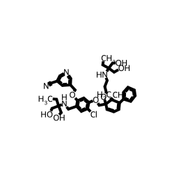 CCC(CO)(CO)NCCCOC1(COc2cc(OCc3cncc(C#N)c3)c(CNC(CC)(CO)CO)cc2Cl)C=CC=C(c2ccccc2)C1(C)C